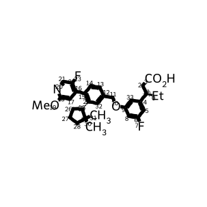 CC[C@H](CC(=O)O)c1cc(F)cc(OCc2ccc(-c3cc(OC)ncc3F)c([C@H]3CCCC3(C)C)c2)c1